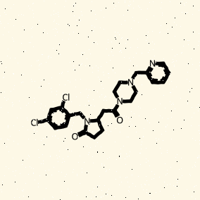 O=C(CC1CCC(=O)N1Cc1ccc(Cl)cc1Cl)N1CCN(Cc2ccccn2)CC1